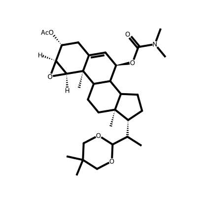 CC(=O)O[C@@H]1CC2=C[C@@H](OC(=O)N(C)C)C3C4CC[C@H](C(C)C5OCC(C)(C)CO5)[C@@]4(C)CCC3[C@@]2(C)[C@H]2O[C@@H]12